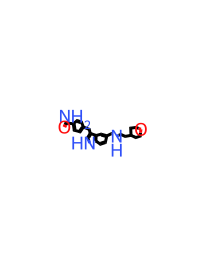 NC(=O)c1ccc(Cc2c[nH]c3ccc(CNCCC4CCOCC4)cc23)cc1